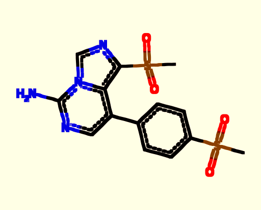 CS(=O)(=O)c1ccc(-c2cnc(N)n3cnc(S(C)(=O)=O)c23)cc1